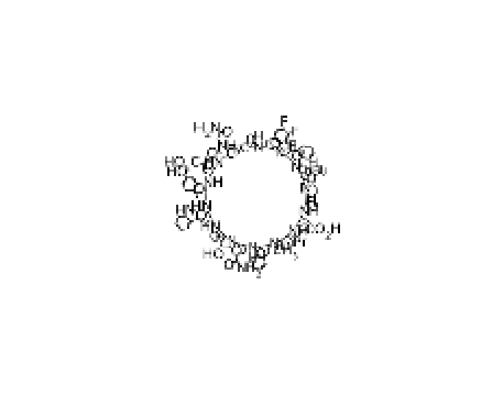 CCCC[C@H]1C(=O)N2CCC[C@@H]2C(=O)N[C@@H](CC(=O)O)C(=O)N[C@@H](C(C)C)C(=O)N(C)[C@@H](Cc2ccccc2)C(=O)N[C@@H](CCC(N)=O)C(=O)N2C[C@H](O)C[C@H]2C(=O)N[C@@H](Cc2c[nH]c3ccccc23)C(=O)N[C@@H](Cc2ccc(O)cc2)C(=O)N[C@@H](CCC(=O)O)C(=O)N[C@H](C(=O)NCC(N)=O)CSCC(=O)N[C@@H](Cc2cc(F)c(F)c(F)c2)C(=O)N(C)[C@@H](Cc2ccccc2)C(=O)N1C